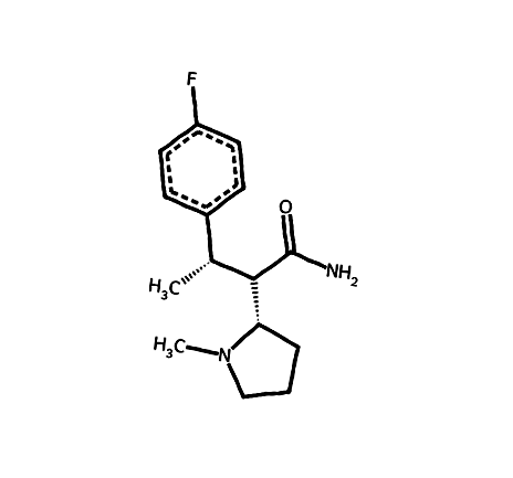 C[C@H](c1ccc(F)cc1)C(C(N)=O)[C@@H]1CCCN1C